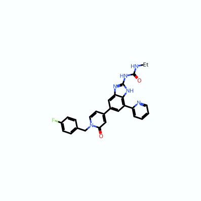 CCNC(=O)Nc1nc2cc(-c3ccn(Cc4ccc(F)cc4)c(=O)c3)cc(-c3ccccn3)c2[nH]1